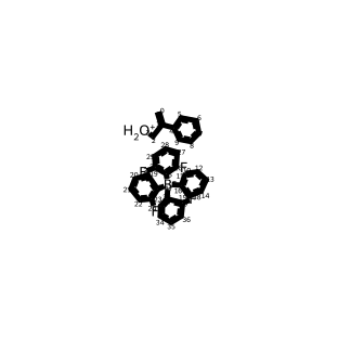 C=C(C[OH2+])c1ccccc1.Fc1ccccc1[B-](c1ccccc1F)(c1ccccc1F)c1ccccc1F